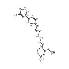 OCC1CC(O)CCN1CCCCCOCc1ccc(-c2cccc(F)c2)cc1